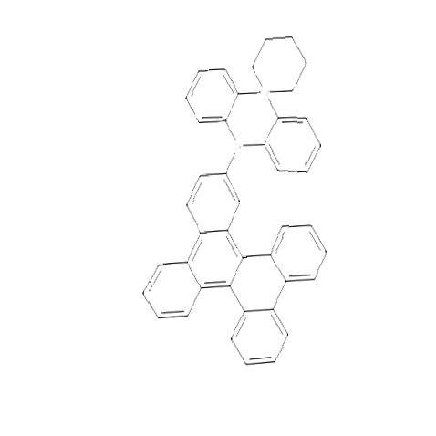 c1ccc2c(c1)N(c1ccc3c4ccccc4c4c5ccccc5c5ccccc5c4c3c1)c1ccccc1[Si]21CCCCC1